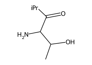 CC(C)C(=O)C(N)C(C)O